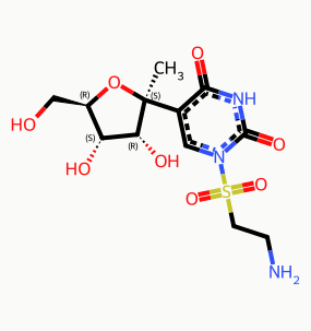 C[C@@]1(c2cn(S(=O)(=O)CCN)c(=O)[nH]c2=O)O[C@H](CO)[C@@H](O)[C@H]1O